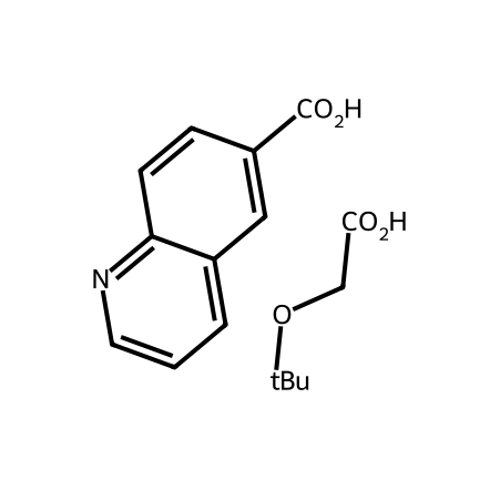 CC(C)(C)OCC(=O)O.O=C(O)c1ccc2ncccc2c1